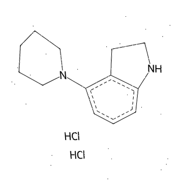 Cl.Cl.c1cc2c(c(N3CCCCC3)c1)CCN2